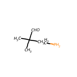 CC(C)(C)C=O.CP